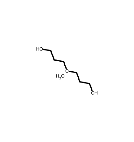 O.OCCCOCCCO